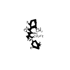 CCOC(=O)c1c(-c2onc(-c3c(C)cccc3F)c2C(C)=O)cnn1-c1cc(F)cc(F)c1